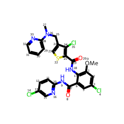 COc1cc(Cl)cc(C(=O)Nc2ccc(Cl)cn2)c1NC(=O)c1scc(CN(C)c2ccccn2)c1Cl